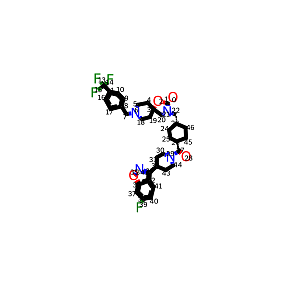 O=C1OC2(CCN(Cc3ccc(C(F)(F)F)cc3)CC2)CN1C[C@H]1CC[C@H](C(=O)N2CCC(c3noc4cc(F)ccc34)CC2)CC1